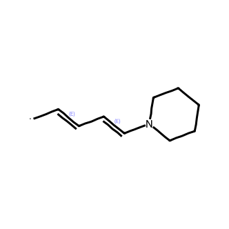 [CH2]/C=C/C=C/N1CCCCC1